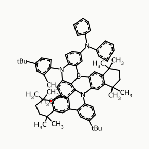 Cc1cc2c3c(c1)N(c1ccc(C(C)(C)C)cc1-c1ccc4c(c1)C(C)(C)CCC4(C)C)c1cc4c(cc1B3c1cc(N(c3ccccc3)c3ccccc3)ccc1N2c1ccc(C(C)(C)C)cc1C)C(C)(C)CCC4(C)C